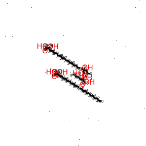 CCCC(C)(O)C(=O)O.CCCCCC(O)C(=O)O.CCCCCCCCCCCCCCCCC(O)C(=O)O.CCCCCCCCCCCCCCCCCCCCCCC(O)C(=O)O